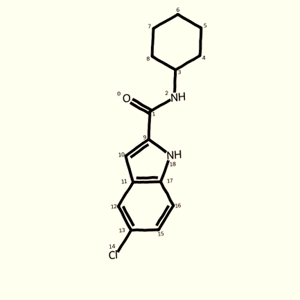 O=C(NC1CCCCC1)c1cc2cc(Cl)ccc2[nH]1